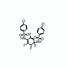 O=S(=O)(NC1=C(F)C(F)C(F)(NS(=O)(=O)c2ccc(Cl)cc2)C=C1F)c1ccc(Cl)cc1